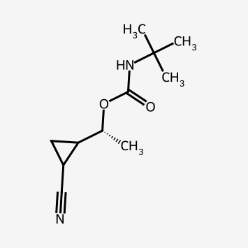 C[C@@H](OC(=O)NC(C)(C)C)C1CC1C#N